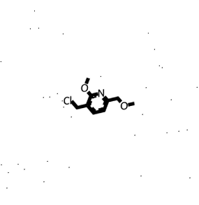 COCc1ccc(CCl)c(OC)n1